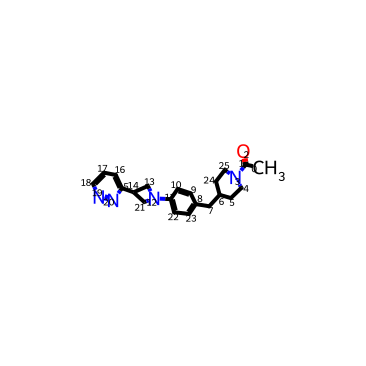 CC(=O)N1CCC(Cc2ccc(N3CC(c4cccnn4)C3)cc2)CC1